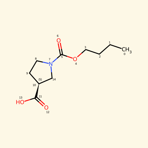 CCCCOC(=O)N1CC[C@H](C(=O)O)C1